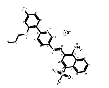 CCCOc1cc(F)ccc1-c1ccc(N=Nc2cc(S(=O)(=O)[O-])c3ccccc3c2N)cn1.[Na+]